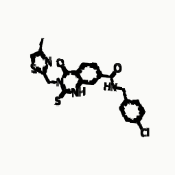 Cc1csc(Cn2c(=S)[nH]c3cc(C(=O)NCc4ccc(Cl)cc4)ccc3c2=O)n1